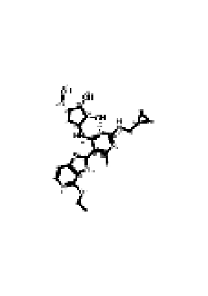 CCOc1nccc2sc(-c3c(C)nc(NCC4CC4)nc3NC3C[C@H](CO)[C@@H](O)[C@H]3O)nc12